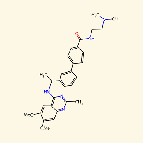 COc1cc2nc(C)nc(NC(C)c3cccc(-c4ccc(C(=O)NCCN(C)C)cc4)c3)c2cc1OC